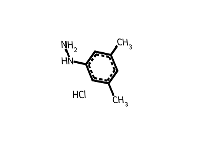 Cc1cc(C)cc(NN)c1.Cl